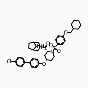 NC1C2CCC1CN(C(=O)[C@H]1C[C@@H](Oc3ccc(-c4ccc(Cl)cc4)cc3)CCN1S(=O)(=O)c1ccc(OCC3CCCCC3)cc1)C2